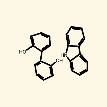 Oc1ccccc1-c1ccccc1O.c1ccc2c(c1)[nH]c1ccccc12